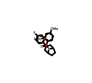 COc1ccc(C(=O)N2C3CCC2CC(c2ccc(F)cc2)C3)c(OC)c1